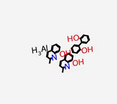 Cc1ccc2cccc(O)c2n1.Cc1ccc2cccc(O)c2n1.Oc1ccccc1-c1ccccc1O.[AlH3]